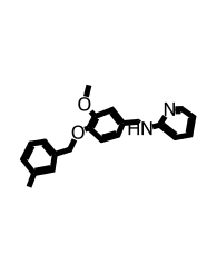 COc1cc(CNc2ccccn2)ccc1OCc1cccc(C)c1